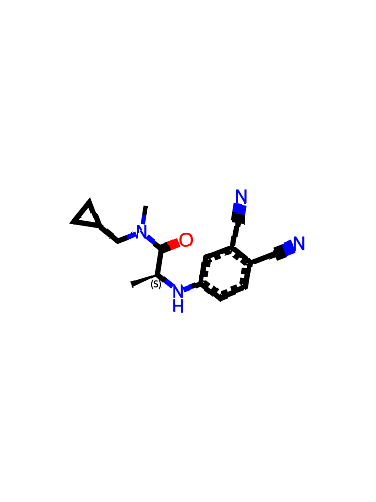 C[C@H](Nc1ccc(C#N)c(C#N)c1)C(=O)N(C)CC1CC1